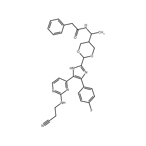 CC(NC(=O)Cc1ccccc1)C1COC(c2nc(-c3ccc(F)cc3)c(-c3ccnc(NCCC#N)n3)[nH]2)OC1